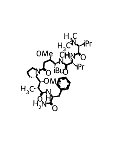 CC[C@H](C)[C@@H]([C@@H](CC(=O)N1CCC[C@H]1[C@H](OC)[C@@H](C)C(=O)N[C@@H](Cc1ccccc1)C(N)=O)OC)N(C)C(=O)[C@@H](NC(=O)[C@H](C(C)C)N(C)C)C(C)C